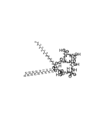 CCCCCCCCCCCCCCCCCC(=O)OCC(COP(=O)(O)OCCNc1c(NCCCC(C(=O)O)N2CCN(CC(=O)O)CCN(CC(=O)O)CCN(CC(=O)O)CC2)c(=O)c1=O)OC(=O)CCCCCCCCCCCCCCCCC